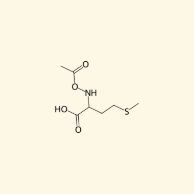 CSCCC(NOC(C)=O)C(=O)O